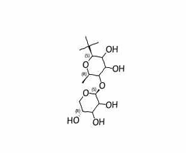 C[C@H]1O[C@@H](C(C)(C)C)C(O)C(O)C1O[C@@H]1OC[C@@H](O)C(O)C1O